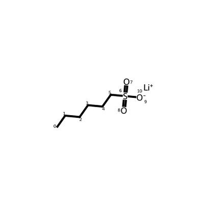 CCCCCCS(=O)(=O)[O-].[Li+]